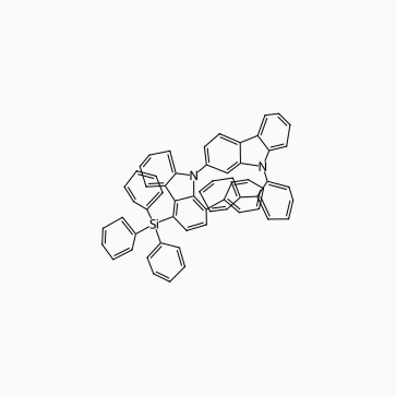 c1ccc(-c2ccccc2-n2c3ccccc3c3ccc(-n4c5ccccc5c5c([Si](c6ccccc6)(c6ccccc6)c6ccccc6)ccc(-c6ccccc6)c54)cc32)cc1